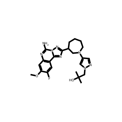 COc1cc2nc(N)n3nc(C4CCCCN(c5cnn(CC(C)(C)O)c5)C4)nc3c2cc1F